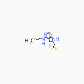 CCCCNc1ncnc2[nH]c(CC(F)(F)F)cc12